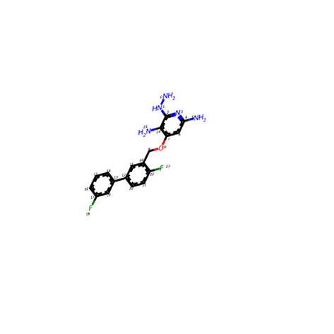 NNc1nc(N)cc(OCc2cc(-c3cccc(F)c3)ccc2F)c1N